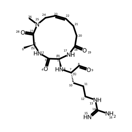 C[C@@H]1NC(=O)[C@H](N[C@H](C=O)CCCNC(=N)N)NC(=O)CCC=CCN(C)C1=O